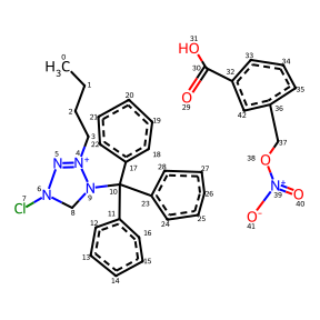 CCCC[N+]1=NN(Cl)CN1C(c1ccccc1)(c1ccccc1)c1ccccc1.O=C(O)c1cccc(CO[N+](=O)[O-])c1